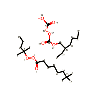 CCCC(C)(C)OOC(=O)CCCCCC(C)(C)C.CCCCC(CC)COC(=O)OOC(=O)O